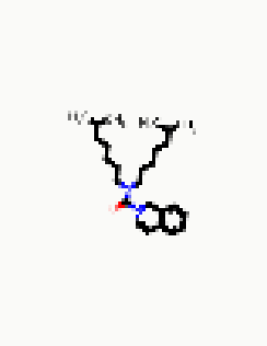 CC(C)CCCCCN(CCCCCC(C)C)C(=O)N1C=Cc2ccccc2C1